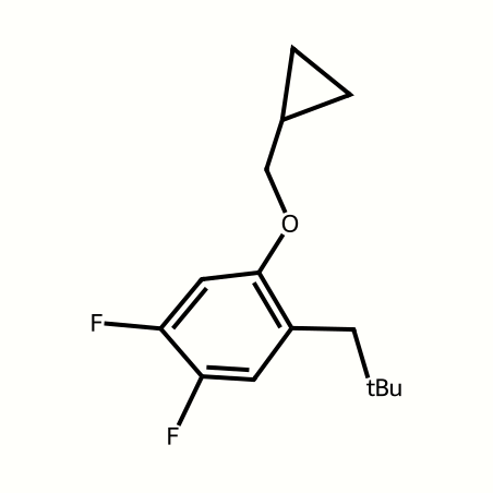 CC(C)(C)Cc1cc(F)c(F)cc1OCC1CC1